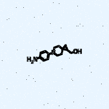 Nc1ccc(N2CCC3(CC2)CC3CO)cc1